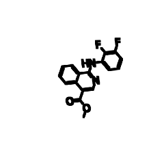 COC(=O)c1cnc(Nc2cccc(F)c2F)c2ccccc12